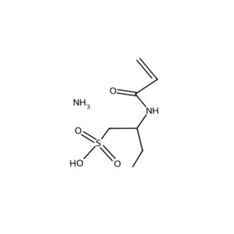 C=CC(=O)NC(CC)CS(=O)(=O)O.N